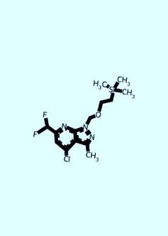 Cc1nn(COCC[Si](C)(C)C)c2nc(C(F)F)cc(Cl)c12